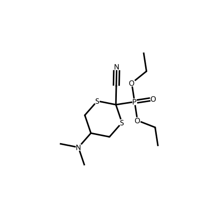 CCOP(=O)(OCC)C1(C#N)SCC(N(C)C)CS1